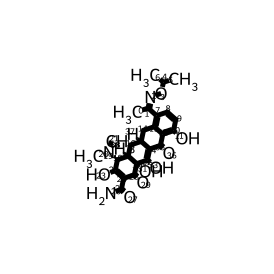 C/C(=N/OC(C)C)c1ccc(O)c2c1C[C@H]1C[C@H]3[C@H](N(C)C)C(O)=C(C(N)=O)C(=O)[C@]3(O)C(O)=C1C2=O